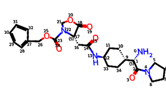 N[C@H](C(=O)N1CCCC1)[C@H]1CC[C@H](NC(=O)C[C@H]2C(=O)OCN2C(=O)OCc2ccccc2)CC1